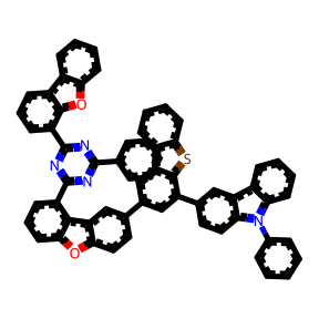 c1ccc(-c2nc(-c3cccc4c3oc3ccccc34)nc(-c3cccc4oc5ccc(-c6cc(-c7ccc8c(c7)c7ccccc7n8-c7ccccc7)c7sc8ccccc8c7c6)cc5c34)n2)cc1